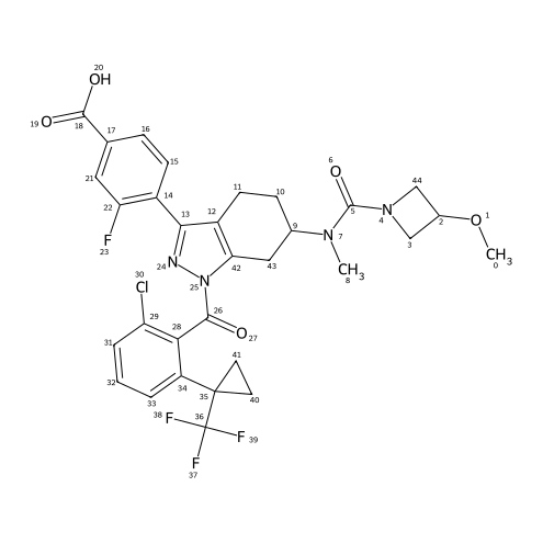 COC1CN(C(=O)N(C)C2CCc3c(-c4ccc(C(=O)O)cc4F)nn(C(=O)c4c(Cl)cccc4C4(C(F)(F)F)CC4)c3C2)C1